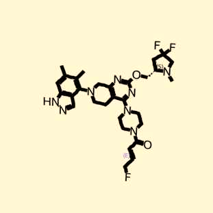 Cc1cc2[nH]ncc2c(N2CCc3c(nc(OC[C@@H]4CC(F)(F)CN4C)nc3N3CCN(C(=O)/C=C/CF)CC3)C2)c1C